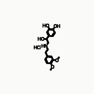 COc1ccc(CCNCC(O)c2ccc(O)c(O)c2)cc1OC.Cl